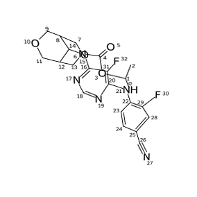 CC(C)OC(=O)N1CC2COCC(C1)C2Oc1ncnc(Nc2ccc(C#N)cc2F)c1F